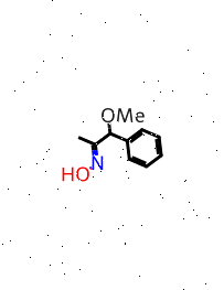 COC(C(C)=NO)c1ccccc1